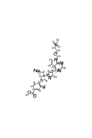 COC(=O)c1ccc(N2CC(CC#N)(n3cc(-c4ncnc5c4ccn5COCC[Si](C)(C)C)cn3)C2)c(F)c1